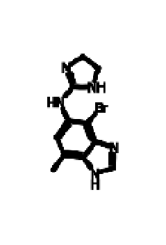 Cc1cc(NC2=NCCN2)c(Br)c2nc[nH]c12